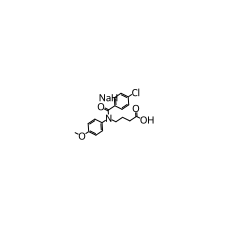 COc1ccc(N(CCCC(=O)O)C(=O)c2ccc(Cl)cc2)cc1.[NaH]